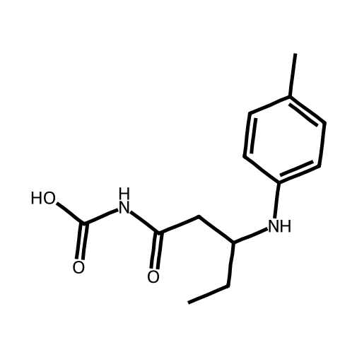 CCC(CC(=O)NC(=O)O)Nc1ccc(C)cc1